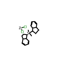 C[Si](C)([C]1[CH][CH][C]2C=CC=C[C]21)[C]1[CH][CH][C]2C=CC=C[C]21.[Cl][Zr][Cl]